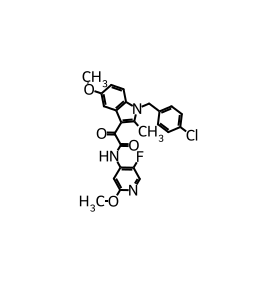 COc1ccc2c(c1)c(C(=O)C(=O)Nc1cc(OC)ncc1F)c(C)n2Cc1ccc(Cl)cc1